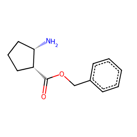 N[C@H]1CCC[C@H]1C(=O)OCc1ccccc1